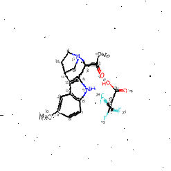 COC(=O)C1c2[nH]c3ccc(OC)cc3c2C2CCN1C2.O=C(O)C(F)(F)F